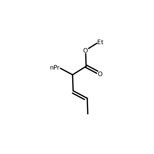 CC=CC(CCC)C(=O)OCC